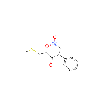 CSCCC(=O)C(C[N+](=O)[O-])c1ccccc1